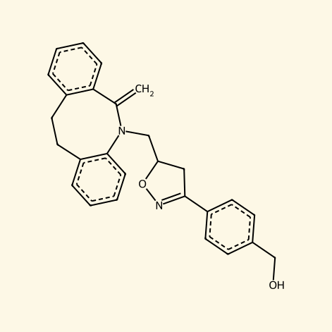 C=C1c2ccccc2CCc2ccccc2N1CC1CC(c2ccc(CO)cc2)=NO1